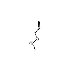 C=CCOPI